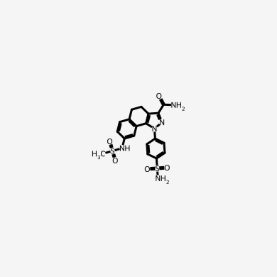 CS(=O)(=O)Nc1ccc2c(c1)-c1c(c(C(N)=O)nn1-c1ccc(S(N)(=O)=O)cc1)CC2